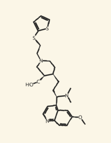 COc1ccc2nccc([C@@H](CC[C@@H]3CCN(CCSc4cccs4)C[C@@H]3CO)N(C)C)c2c1